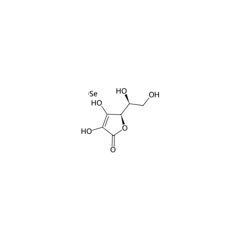 O=C1O[C@H]([C@@H](O)CO)C(O)=C1O.[Se]